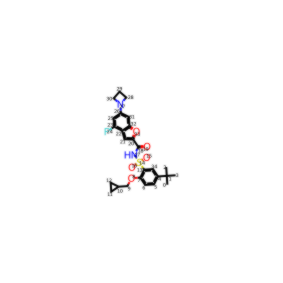 CC(C)(C)c1ccc(OCC2CC2)c(S(=O)(=O)NC(=O)c2cc3c(F)cc(N4CCC4)cc3o2)c1